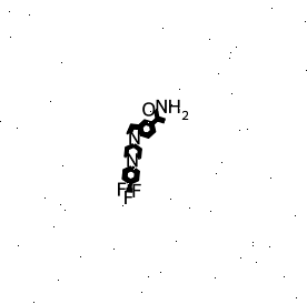 C=C(C(N)=O)c1ccc2c(ccn2C2CCN(c3ccc(C(F)(F)F)cc3)CC2)c1